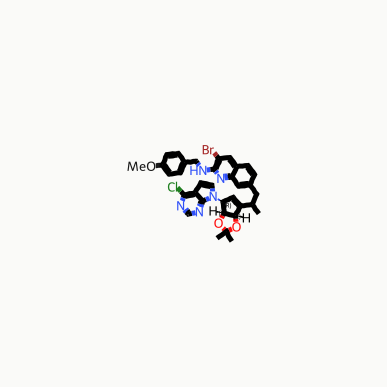 COc1ccc(CNc2nc3cc(CC(C)C4=C[C@@H](n5ccc6c(Cl)ncnc65)[C@@H]5OC(C)(C)O[C@H]45)ccc3cc2Br)cc1